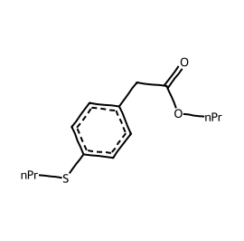 CCCOC(=O)Cc1ccc(SCCC)cc1